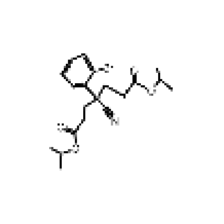 CC(C)OC(=O)CCC(C#N)(CCC(=O)OC(C)C)c1ccccc1Br